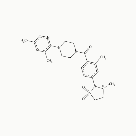 Cc1cnc(N2CCN(C(=O)c3ccc(N4[C@H](C)CCS4(=O)=O)cc3C)CC2)c(C)c1